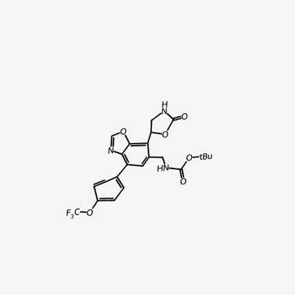 CC(C)(C)OC(=O)NCc1cc(-c2ccc(OC(F)(F)F)cc2)c2ncoc2c1C1CNC(=O)O1